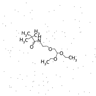 CCOC(COCCNC(=O)C(C)(C)C)OCC